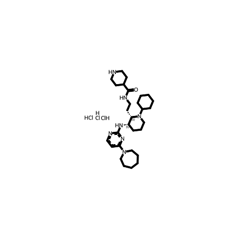 Cl.Cl.Cl.O=C(NCC[C@H]1[C@@H](Nc2nccc(N3CCCCCC3)n2)CCCN1C1CCCCC1)C1CCNCC1